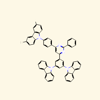 [2H]c1ccc2c(c1)c1cc([2H])ccc1n2-c1ccc(-c2cc(-c3cc(-n4c5ccccc5c5ccccc54)cc(-n4c5ccccc5c5ccccc54)c3)nc(-c3ccccc3)n2)cc1